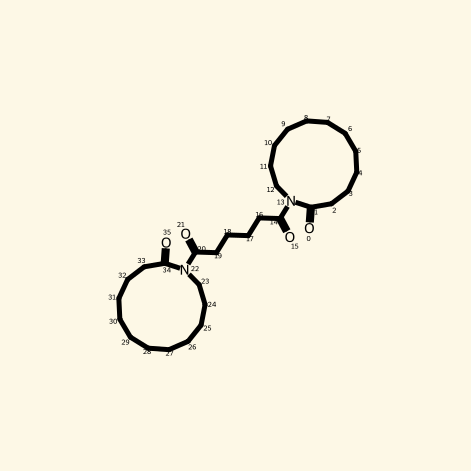 O=C1CCCCCCCCCCCN1C(=O)CCCCC(=O)N1CCCCCCCCCCCC1=O